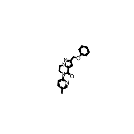 Cc1ccc(N2CCn3nc(COc4ccccc4)cc3C2=O)nc1